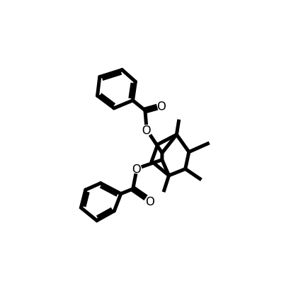 CC1C(C)C2(C)CCC1(C)C(OC(=O)c1ccccc1)C2OC(=O)c1ccccc1